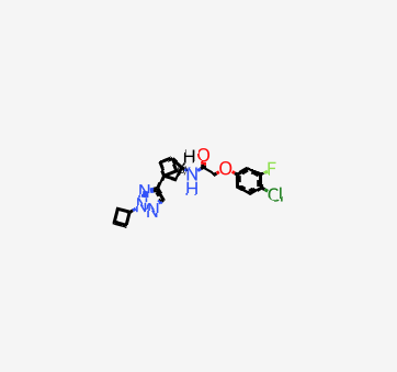 O=C(COc1ccc(Cl)c(F)c1)N[C@H]1CC2(c3cnn(C4CCC4)n3)CC1C2